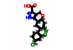 O=C(O)c1n[nH]c2c1COc1cc(Br)c(-c3ccc(Cl)cc3Cl)cc1-2